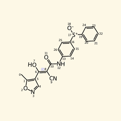 Cc1oncc1/C(O)=C(\C#N)C(=O)Nc1ccc([S+]([O-])c2ccccc2)cc1